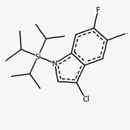 [CH2]c1cc2c(Cl)cn([Si](C(C)C)(C(C)C)C(C)C)c2cc1F